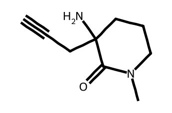 C#CCC1(N)CCCN(C)C1=O